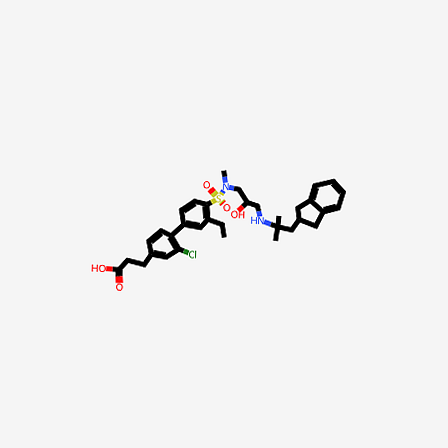 CCc1cc(-c2ccc(CCC(=O)O)cc2Cl)ccc1S(=O)(=O)N(C)CC(O)CNC(C)(C)CC1Cc2ccccc2C1